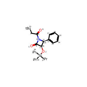 CC(C)[Si](O[C@H]1C(=O)N(C(=O)CC(C)(C)C)[C@H]1c1ccccc1)(C(C)C)C(C)C